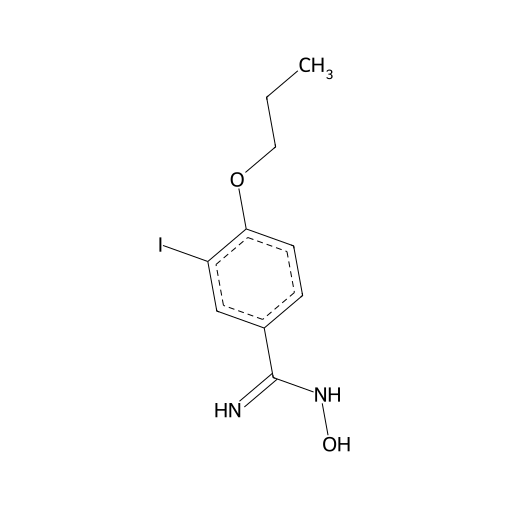 CCCOc1ccc(C(=N)NO)cc1I